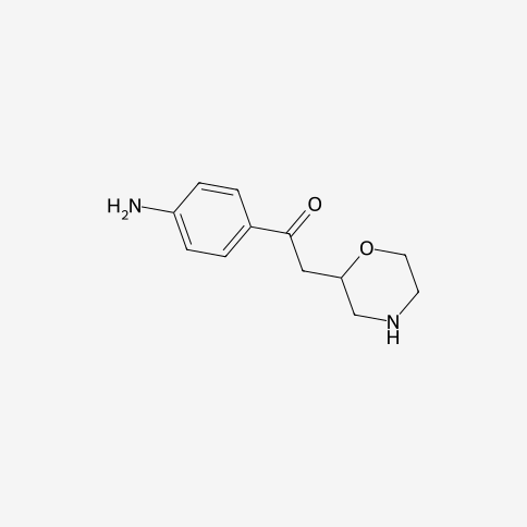 Nc1ccc(C(=O)CC2CNCCO2)cc1